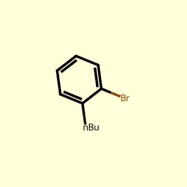 [CH2]CCCc1ccccc1Br